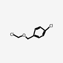 ClCOCc1ccc(Cl)cc1